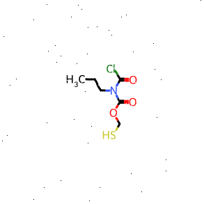 CCCN(C(=O)Cl)C(=O)OCS